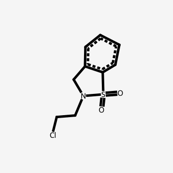 O=S1(=O)c2ccccc2CN1CCCl